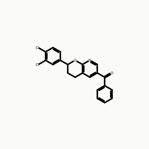 O=C(c1ccccc1)c1cnc2c(c1)CCC(c1ccc(Cl)c(Cl)c1)O2